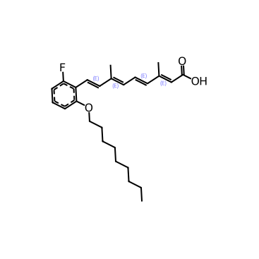 CCCCCCCCCOc1cccc(F)c1/C=C/C(C)=C/C=C/C(C)=C/C(=O)O